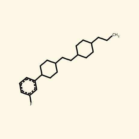 CCCC1CCC(CCC2CCC(c3cccc(F)c3)CC2)CC1